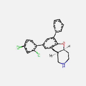 Clc1ccc(-c2cc(-c3ccccc3)c3c(c2)[C@@H]2CNCC[C@@H]2O3)c(Cl)c1